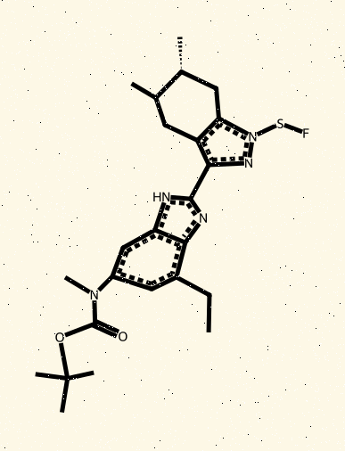 CCc1cc(N(C)C(=O)OC(C)(C)C)cc2[nH]c(-c3nn(SF)c4c3CC(C)[C@H](C)C4)nc12